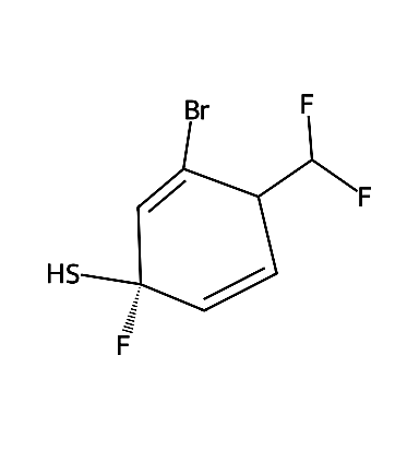 FC(F)C1C=C[C@@](F)(S)C=C1Br